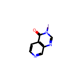 O=c1c2ccncc2ncn1I